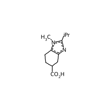 CC(C)c1nc2c(n1C)CCC(C(=O)O)C2